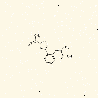 C[C@H](N)c1cc(-c2ccccc2CN(C)C(=O)O)cs1